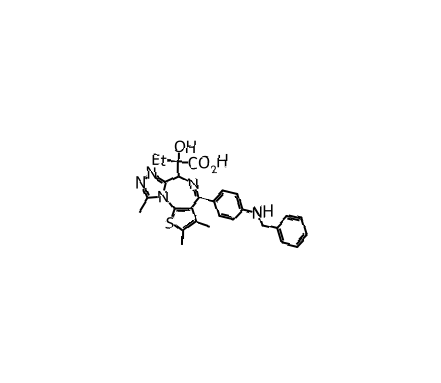 CC[C@@](O)(C(=O)O)C1N=C(c2ccc(NCc3ccccc3)cc2)c2c(sc(C)c2C)-n2c(C)nnc21